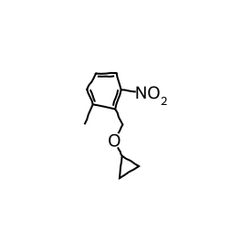 Cc1cccc([N+](=O)[O-])c1COC1CC1